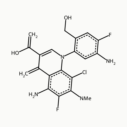 C=C(O)C1=CN(c2cc(N)c(F)cc2CO)c2c(Cl)c(NC)c(F)c(N)c2C1=C